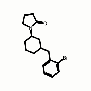 O=C1CCCN1C1CCCC(Cc2ccccc2Br)C1